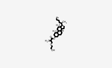 C=C(COCCO)C(=O)O[C@H]1CC[C@@]2(C)C(CC[C@@H]3C2CC[C@@]2(C)C3CC[C@@H]2[C@H](C)CCCC(C)C)C1